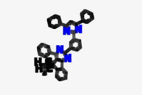 C[Si]1(C)c2ccccc2-c2nc(-c3cccc(-c4nc(-c5ccccc5)cc(-c5ccccc5)n4)c3)nc(-c3ccccc3)c21